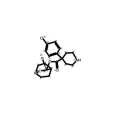 O=C(O[C@H]1CN2CCC1CC2)C1(c2ccc(Cl)cc2)CCNCC1